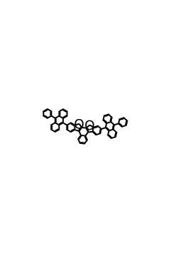 c1ccc(-c2c3ccccc3c(-c3ccc4c(c3)oc3c5oc6cc(-c7c8ccccc8c(-c8ccccc8)c8ccccc78)ccc6c5c5ccccc5c43)c3ccccc23)cc1